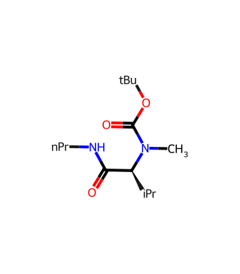 CCCNC(=O)[C@H](C(C)C)N(C)C(=O)OC(C)(C)C